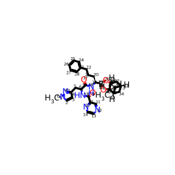 Cn1ccc(CC(NC(=O)c2cnccn2)C(=O)N[C@@H](CCCc2ccccc2)B2O[C@@H]3C[C@@H]4C[C@@H](C4(C)C)[C@]3(C)O2)n1